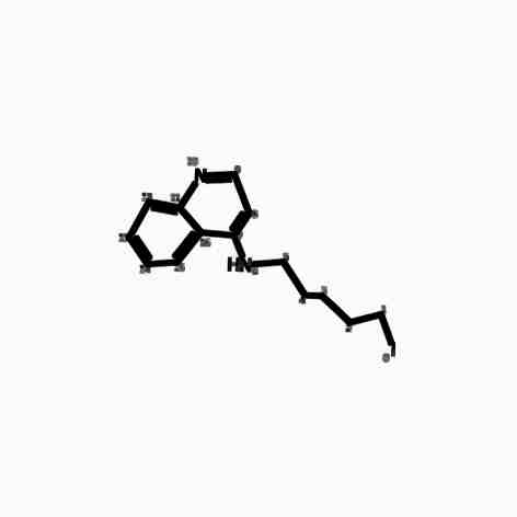 ICCCCCNc1ccnc2ccccc12